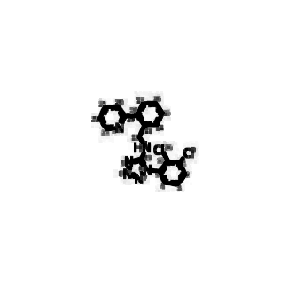 Clc1cccc(-n2nnnc2NCc2ccccc2-c2ccccn2)c1Cl